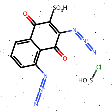 O=S(=O)(O)Cl.[N-]=[N+]=NC1=C(S(=O)(=O)O)C(=O)c2cccc(N=[N+]=[N-])c2C1=O